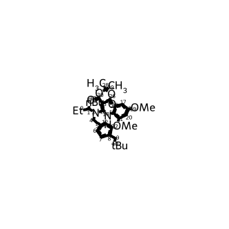 CCCCC(CC)N(Cc1ccc(CC(C)(C)C)cc1)C(Nc1ccc(OC)cc1OC)=C1C(=O)OC(C)(C)OC1=O